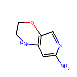 Nc1cc2c(cn1)OCCN2